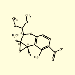 COC(OC)[C@@]1(C)Oc2ccc([N+](=O)[O-])c(C)c2[C@@H]2O[C@@H]21